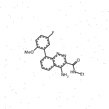 CCNC(=O)c1nnc2c(-c3cc(F)ccc3OC)cccc2c1N